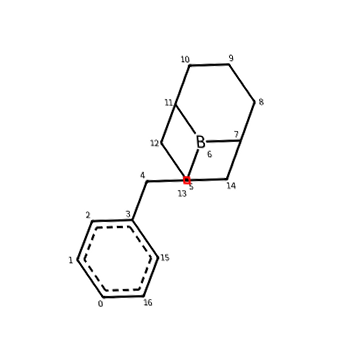 c1ccc(CCB2C3CCCC2CCC3)cc1